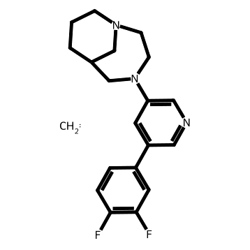 Fc1ccc(-c2cncc(N3CCN4CCCC(C4)C3)c2)cc1F.[CH2]